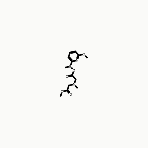 COC(=O)CN(C)CC(=O)OB(C)c1cccc(OC)n1